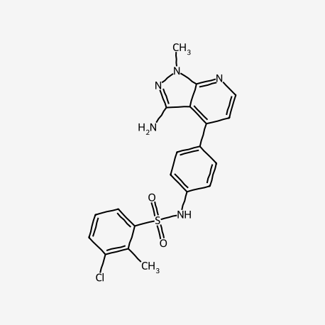 Cc1c(Cl)cccc1S(=O)(=O)Nc1ccc(-c2ccnc3c2c(N)nn3C)cc1